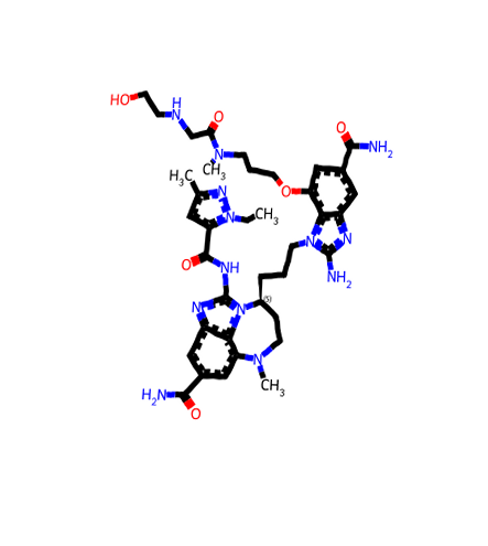 CCn1nc(C)cc1C(=O)Nc1nc2cc(C(N)=O)cc3c2n1[C@@H](CCCn1c(N)nc2cc(C(N)=O)cc(OCCCN(C)C(=O)CNCCO)c21)CCN3C